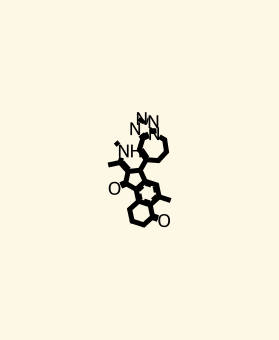 CNC(C)=C1C(=O)c2c(cc(C)c3c2CCCC3=O)C1C1=Cc2nnnn2CCC1